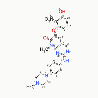 CN1CCN(c2ccc(Nc3ncc4cc(Oc5cccc(O)c5[N+](=O)[O-])c(=O)n(C)c4n3)cc2)CC1